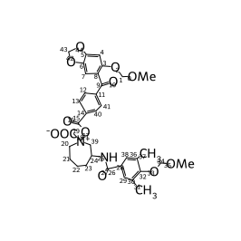 COCOc1cc2c(cc1C(=O)c1ccc(C(=O)O[N+]3(C(=O)[O-])CCCCC(NC(=O)c4cc(C)c(OCOC)c(C)c4)C3)cc1)OCO2